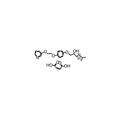 CC(C)NCC(O)COc1ccc(OCCOc2cccnc2)cc1.O=C(O)/C=C\C(=O)O